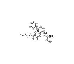 CCCCCNC(=O)C(C)Oc1nc(-c2ccccc2)ccc1NCC(N)CS